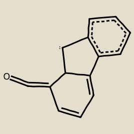 O=C=C1C=CC=C2c3ccccc3[C]C12